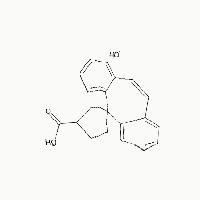 Cl.O=C(O)C1CCC2(C1)c1ccccc1C=Cc1ccccc12